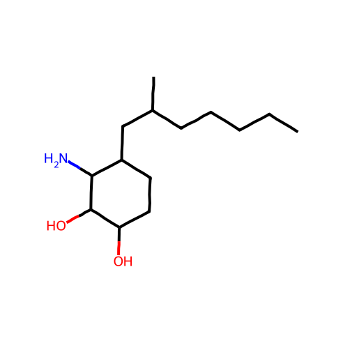 CCCCCC(C)CC1CCC(O)C(O)C1N